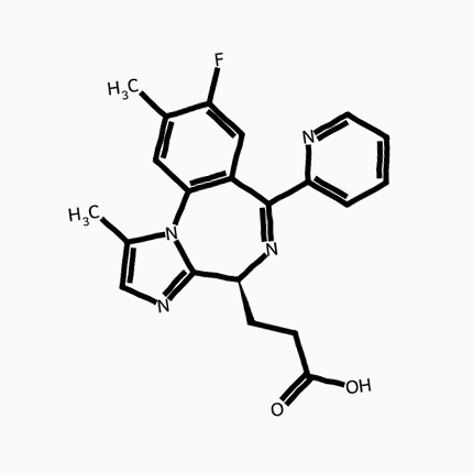 Cc1cc2c(cc1F)C(c1ccccn1)=N[C@@H](CCC(=O)O)c1ncc(C)n1-2